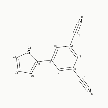 N#Cc1cc(C#N)cc(-c2c[c]cs2)c1